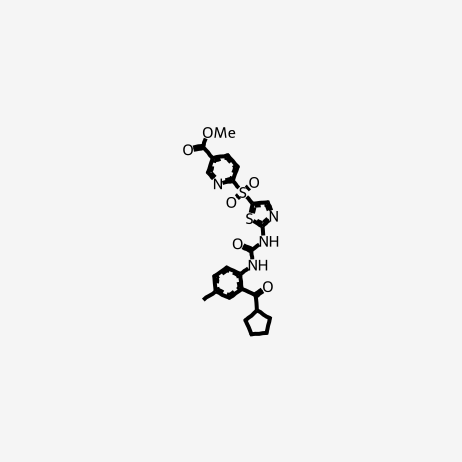 COC(=O)c1ccc(S(=O)(=O)c2cnc(NC(=O)Nc3ccc(C)cc3C(=O)C3CCCC3)s2)nc1